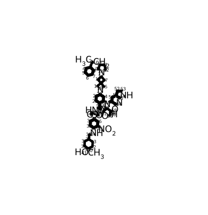 C=C(C)c1ccccc1[C@@H]1CCCN1C1CC2(C1)CN(c1ccc(C(=O)NS(=O)(=O)c3ccc(NCC4CCC(C)(O)CC4)c([N+](=O)[O-])c3)c(N3c4cc5cc[nH]c5nc4O[C@H]4COC[C@@H]43)c1)C2